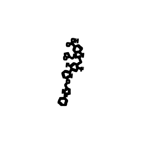 O=C(O)c1ccc2nc(Cc3cc(F)c(-c4cccc(OCc5ccn(-c6ccccc6)n5)n4)cc3F)n(C[C@@H]3CCO3)c2c1